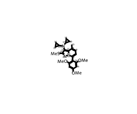 COc1cc(OC)c(-c2ccc(C)c3c(N(C4CC4)C4CC4)c(SC)nn23)c(OC)c1